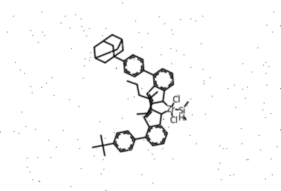 CCCC(C)C1=Cc2c(-c3ccc(C(C)(C)C)cc3)cccc2[CH]1[Zr]([Cl])([Cl])([CH]1C(CC)=Cc2c(-c3ccc(C45CC6CC(CC(C6)C4)C5)cc3)cccc21)[SiH](C)C